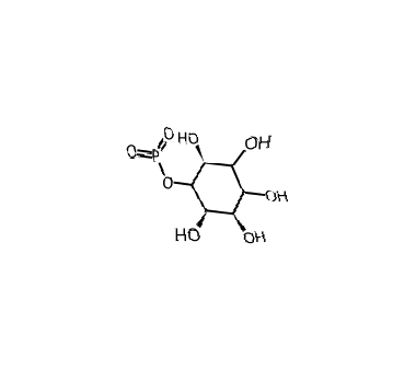 O=P(=O)OC1[C@@H](O)C(O)C(O)[C@@H](O)[C@H]1O